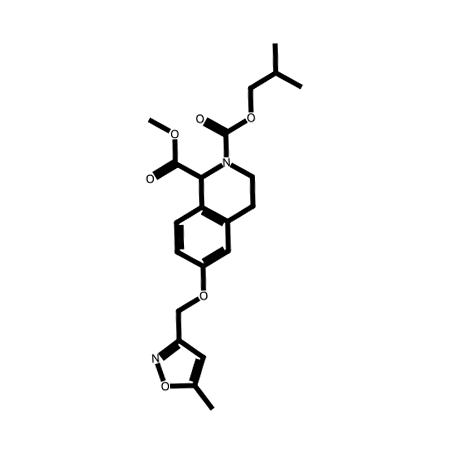 COC(=O)C1c2ccc(OCc3cc(C)on3)cc2CCN1C(=O)OCC(C)C